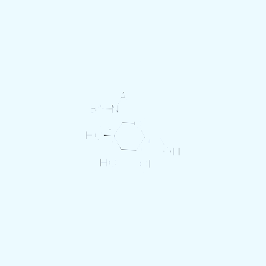 CC(=O)N(Br)[C@@H]1O[C@H](CO)[C@H](O)[C@H](O)[C@H]1O